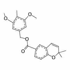 COc1cc(COC(=O)c2ccc3c(c2)C=CC(C)(C)O3)cc(OC)c1C